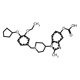 CCOc1cc(CN2CCC(n3c(C)nc4cc(OC(=O)O)ccc43)CC2)ccc1OC1CCCC1